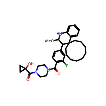 COC1Nc2ccccc2C2(CCCCCCCCC2)C1c1ccc(C(=O)N2CCN(C(=O)C3(O)CC3)CC2)c(F)c1